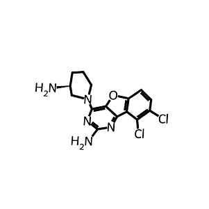 Nc1nc(N2CCC[C@H](N)C2)c2oc3ccc(Cl)c(Cl)c3c2n1